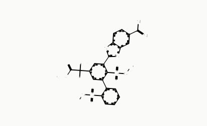 CNC(=O)C(C)(C)c1cc(-c2nc3cc(C(=N)N)ccc3[nH]2)c(S(=O)(=O)NO)c(-c2ccccc2S(=O)(=O)NO)c1